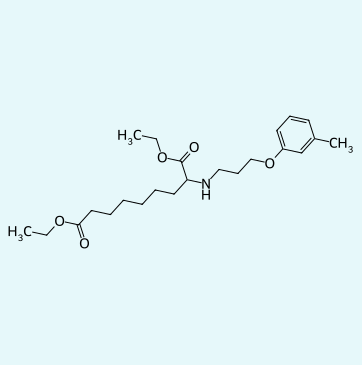 CCOC(=O)CCCCCCC(NCCCOc1cccc(C)c1)C(=O)OCC